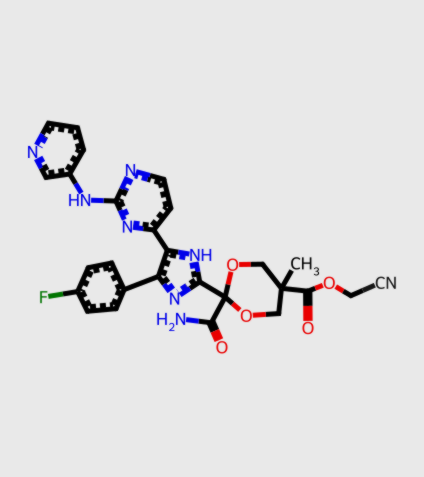 CC1(C(=O)OCC#N)COC(C(N)=O)(c2nc(-c3ccc(F)cc3)c(-c3ccnc(Nc4cccnc4)n3)[nH]2)OC1